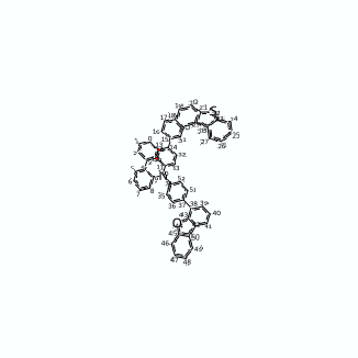 c1ccc(-c2ccccc2N(c2ccc(-c3ccc4ccc5sc6ccccc6c5c4c3)cc2)c2ccc(-c3cccc4c3oc3ccccc34)cc2)cc1